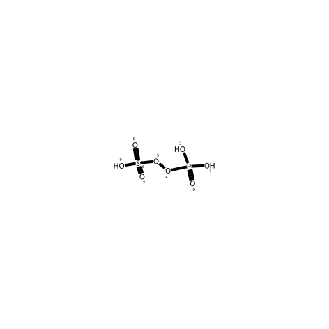 O=P(O)(O)OOS(=O)(=O)O